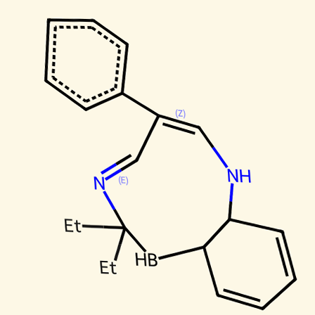 CCC1(CC)BC2C=CC=CC2N/C=C(c2ccccc2)\C=N\1